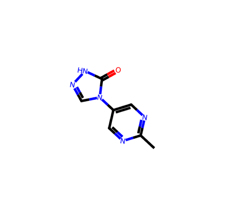 Cc1ncc(-n2cn[nH]c2=O)cn1